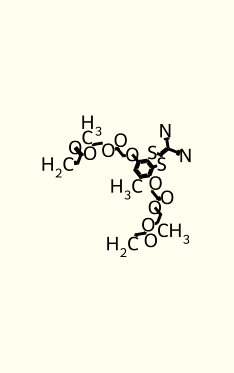 C=CC(=O)OC(C)COC(=O)COc1cc(C)c(OCC(=O)OCC(C)OC(=O)C=C)c2c1SC(=C(C#N)C#N)S2